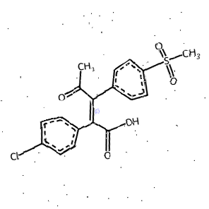 CC(=O)/C(=C(/C(=O)O)c1ccc(Cl)cc1)c1ccc(S(C)(=O)=O)cc1